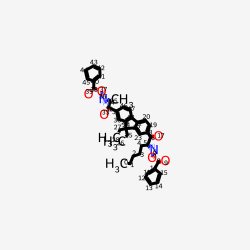 CCCCC/C(=N\OC(=O)c1ccccc1)C(=O)c1ccc2c(c1)C(CC)(CC)c1cc(C(=O)/C(C)=N/OC(=O)c3ccccc3)ccc1-2